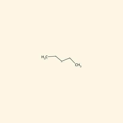 CC[C]CC